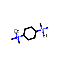 CC[N+](C)(C)C1CCC([N+](C)(C)CC)CC1